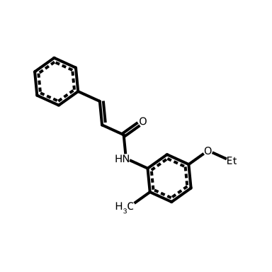 CCOc1ccc(C)c(NC(=O)C=Cc2ccccc2)c1